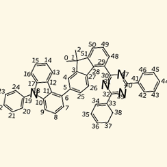 CC1(C)c2cc(-c3cccc4c3c3ccccc3n4-c3ccccc3)ccc2-c2c(-c3nc(C4=CC=CCC4)nc(-c4ccccc4)n3)cccc21